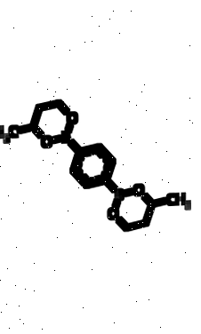 CC1CCOB(c2ccc(B3OCCC(C)O3)cc2)O1